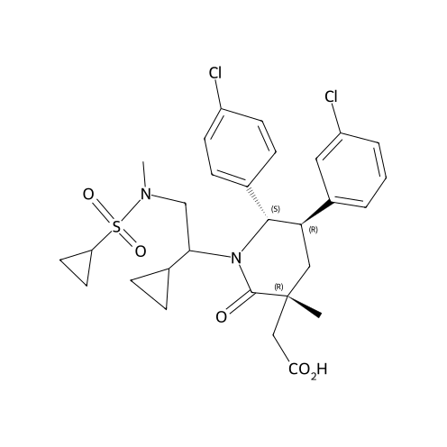 CN(CC(C1CC1)N1C(=O)[C@@](C)(CC(=O)O)C[C@H](c2cccc(Cl)c2)[C@H]1c1ccc(Cl)cc1)S(=O)(=O)C1CC1